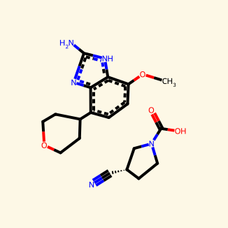 COc1ccc(C2CCOCC2)c2nc(N)[nH]c12.N#C[C@H]1CCN(C(=O)O)C1